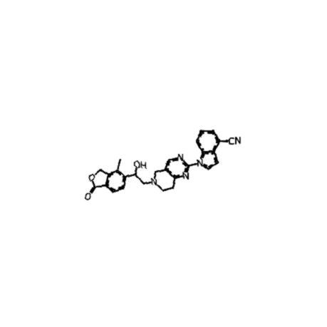 Cc1c(C(O)CN2CCc3nc(-n4ccc5c(C#N)cccc54)ncc3C2)ccc2c1COC2=O